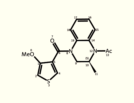 COc1cscc1C(=O)N1C[C@H](C)N(C(C)=O)c2ccccc21